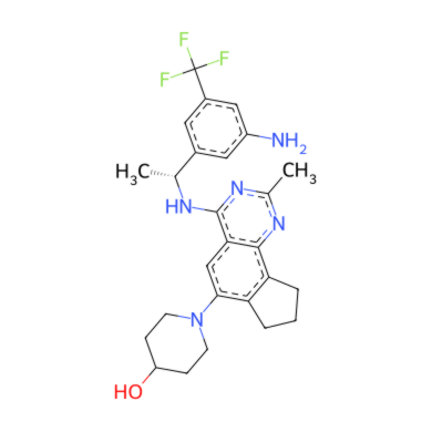 Cc1nc(N[C@H](C)c2cc(N)cc(C(F)(F)F)c2)c2cc(N3CCC(O)CC3)c3c(c2n1)CCC3